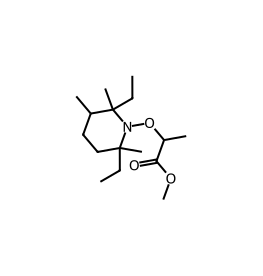 CCC1(C)CCC(C)C(C)(CC)N1OC(C)C(=O)OC